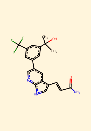 CC(C)(O)c1cc(-c2cnc3[nH]cc(/C=C/C(N)=O)c3c2)cc(C(F)(F)F)c1